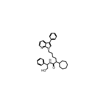 O=C(NC(CO)c1ccccc1)C(CCCCn1cc(-c2ccccc2)c2cccnc21)C1CCCCCC1